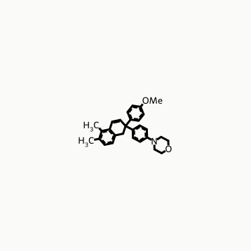 COc1ccc(C2(c3ccc(N4CCOCC4)cc3)C=Cc3c(ccc(C)c3C)C2)cc1